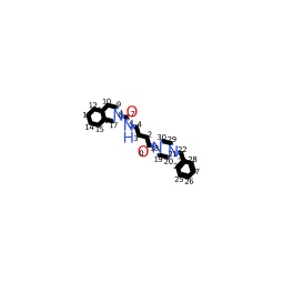 O=C(CCCNC(=O)N1CCC2CCCCC2C1)N1CCN(Cc2ccccc2)CC1